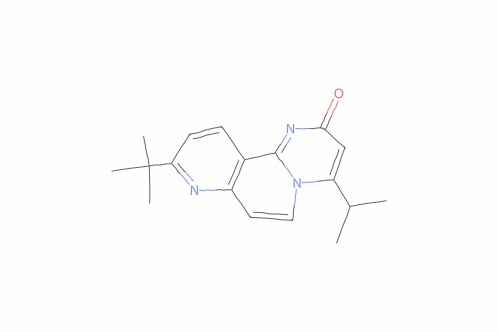 CC(C)c1cc(=O)nc2c3ccc(C(C)(C)C)nc3ccn12